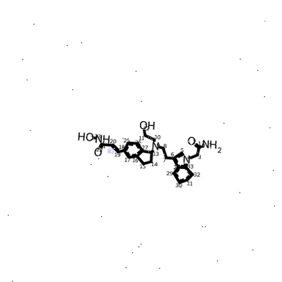 NC(=O)Cn1cc(CCN(CCO)C2CCc3cc(/C=C/C(=O)NO)ccc32)c2ccccc21